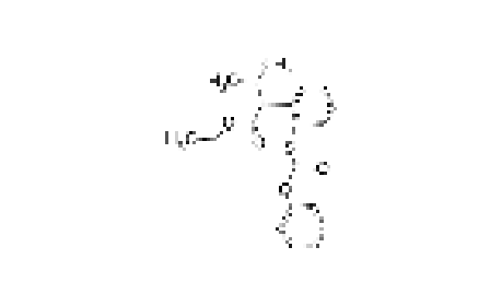 CCOC(=O)C(c1ccccc1SC(=O)Oc1ccccc1)C(C)C